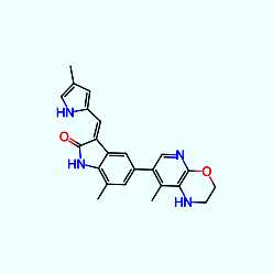 Cc1c[nH]c(C=C2C(=O)Nc3c(C)cc(-c4cnc5c(c4C)NCCO5)cc32)c1